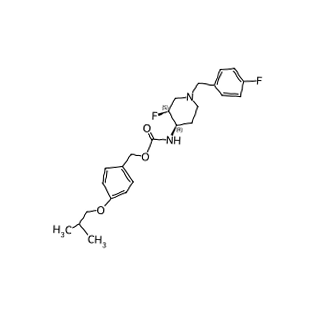 CC(C)COc1ccc(COC(=O)N[C@@H]2CCN(Cc3ccc(F)cc3)C[C@@H]2F)cc1